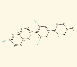 CCC1CCC(c2cc(F)c(-c3ccc4cc(F)ccc4c3)c(F)c2)CC1